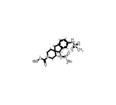 CC(C)(C)OC(=O)N1CCC2(CC1)Cc1ccc(NS(C)(=O)=O)cc1[C@H]2N[S@+]([O-])C(C)(C)C